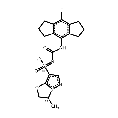 C[C@H]1COc2c([S@](N)(=O)=NC(=O)Nc3c4c(c(F)c5c3CCC5)CCC4)cnn21